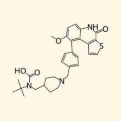 COc1ccc2[nH]c(=O)c3sccc3c2c1-c1ccc(CN2CCC(CN(C(=O)O)C(C)(C)C)CC2)cc1